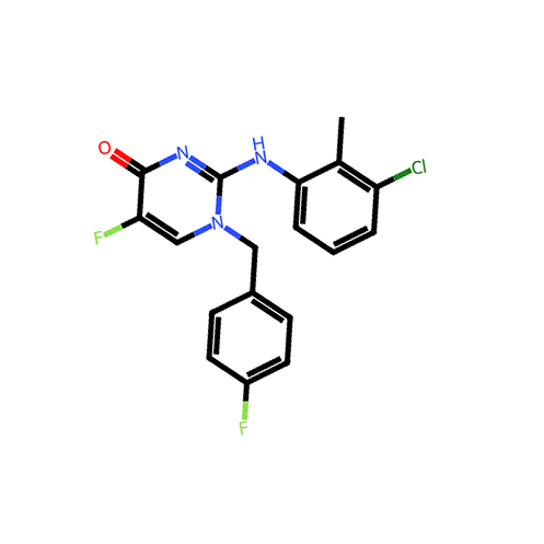 Cc1c(Cl)cccc1Nc1nc(=O)c(F)cn1Cc1ccc(F)cc1